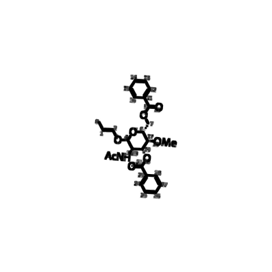 CC=CO[C@H]1O[C@H](COC(=O)c2ccccc2)[C@@H](OC)[C@H](OC(=O)c2ccccc2)[C@H]1NC(C)=O